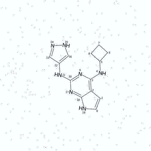 c1cc2c(NC3CCC3)nc(Nc3cn[nH]c3)nc2[nH]1